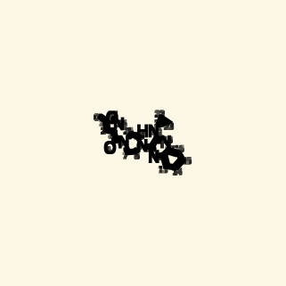 Cc1cc(C(=O)N2CCN(c3nc4ccccc4nc3NC3CC3)CC2)no1